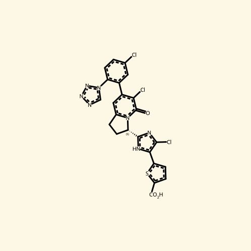 O=C(O)c1ccc(-c2[nH]c([C@@H]3CCc4cc(-c5cc(Cl)ccc5-n5cnnn5)c(Cl)c(=O)n43)nc2Cl)s1